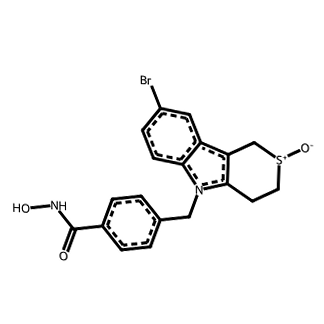 O=C(NO)c1ccc(Cn2c3c(c4cc(Br)ccc42)C[S+]([O-])CC3)cc1